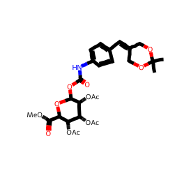 COC(=O)C1OC(OC(=O)Nc2ccc(C=C3COC(C)(C)OC3)cc2)C(OC(C)=O)C(OC(C)=O)C1OC(C)=O